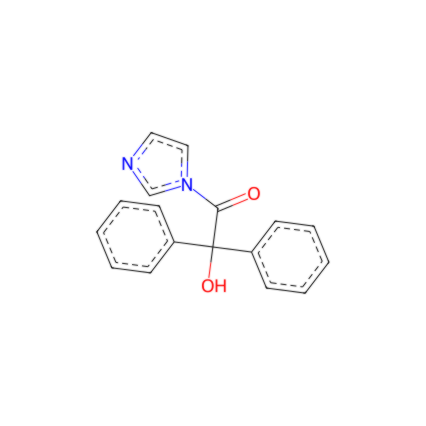 O=C(n1ccnc1)C(O)(c1ccccc1)c1ccccc1